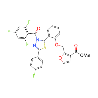 COC(=O)c1ccoc1COc1ccccc1C1SC(c2ccc(F)cc2)=NN1C(=O)c1c(F)cc(F)cc1F